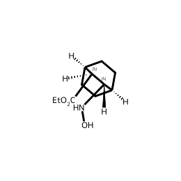 CCOC(=O)[C@H]1[C@H]2CC[C@H](CC2)[C@@H]1NO